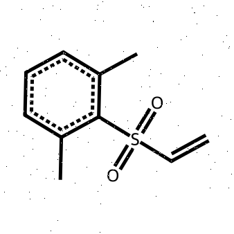 C=CS(=O)(=O)c1c(C)cccc1C